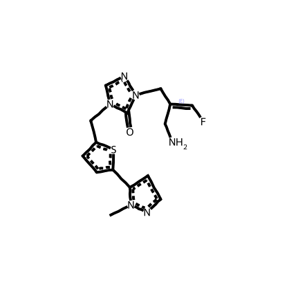 Cn1nccc1-c1ccc(Cn2cnn(C/C(=C/F)CN)c2=O)s1